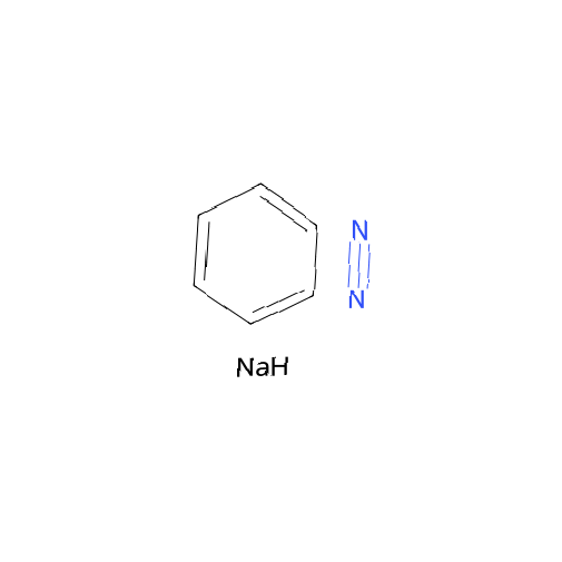 N#N.[NaH].c1ccccc1